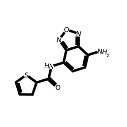 Nc1ccc(NC(=O)C2CC=CS2)c2nonc12